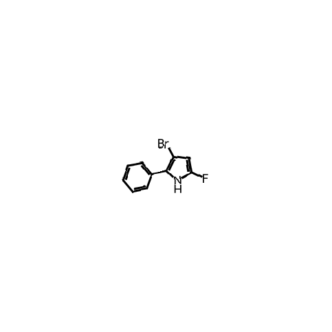 Fc1cc(Br)c(-c2ccccc2)[nH]1